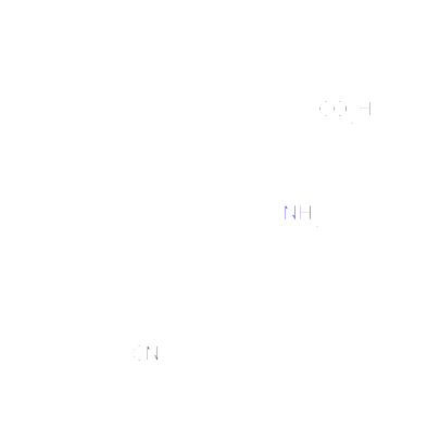 N#Cc1ccccc1-c1ccccc1.Nc1ccccc1C(=O)O